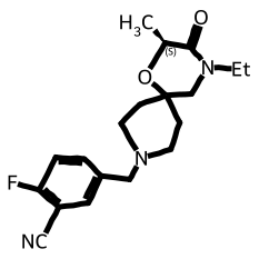 CCN1CC2(CCN(Cc3ccc(F)c(C#N)c3)CC2)O[C@@H](C)C1=O